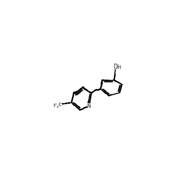 Oc1cccc(-c2ccc(C(F)(F)F)cn2)c1